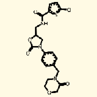 O=C(NCC1CN(c2ccc(CN3CCOCC3=O)cc2)C(=O)O1)c1ccc(Cl)s1